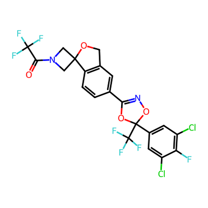 O=C(N1CC2(C1)OCc1cc(C3=NOC(c4cc(Cl)c(F)c(Cl)c4)(C(F)(F)F)O3)ccc12)C(F)(F)F